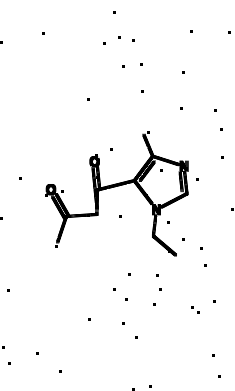 CCn1cnc(C)c1C(=O)CC(C)=O